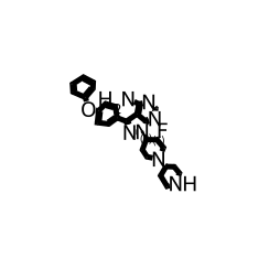 Nc1ncnc2c1c(-c1ccc(Oc3ccccc3)cc1)nn2[C@@H]1CCN(C2CCNCC2)C[C@@H]1F